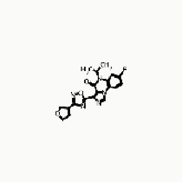 CC(C)n1c(=O)c2c(-c3nc(C4CCOC4)no3)ncn2c2ccc(F)cc21